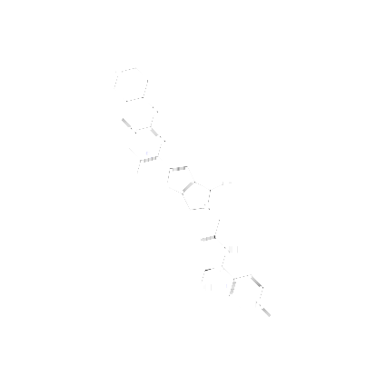 C=N/C=C\C(=C/C)[C@@H](CO)NC(=O)CN1Cc2sc(C(/N=C(\N=C)NC3CCOCC3)=C(/C)Cl)cc2C1O